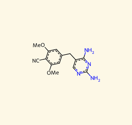 COc1cc(Cc2cnc(N)nc2N)cc(OC)c1C#N